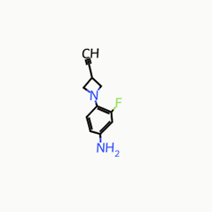 C#CC1CN(c2ccc(N)cc2F)C1